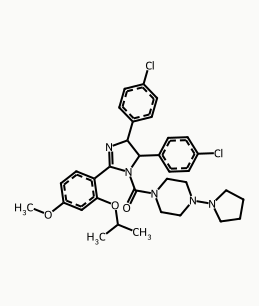 COc1ccc(C2=NC(c3ccc(Cl)cc3)C(c3ccc(Cl)cc3)N2C(=O)N2CCN(N3CCCC3)CC2)c(OC(C)C)c1